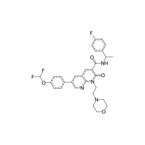 CC(NC(=O)c1cc2cc(-c3ccc(OC(F)F)cc3)cnc2n(CCN2CCOCC2)c1=O)c1ccc(F)cc1